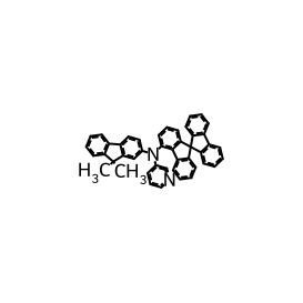 CC1(C)c2ccccc2-c2ccc(N(c3cccnc3)c3cccc4c3-c3ccccc3C43c4ccccc4-c4ccccc43)cc21